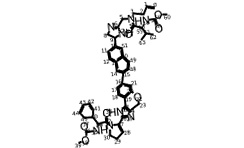 C=CCCN(CC1=NCC(c2ccc3cc(-c4ccc5c(c4)OCc4nc(C6=CCCN6C(=O)[C@H](NC(=O)OC)C6C=CC=CC6)[nH]c4-5)ccc3c2)N1)C(=O)[C@@H](NC(=O)OC)C(C)C